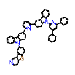 c1ccc(-c2cc(-c3ccccc3)nc(-n3c4ccccc4c4cc(-c5cccc(-c6ccc7c(c6)c6ccccc6n7-c6ccc7sc8ccncc8c7c6)n5)ccc43)c2)cc1